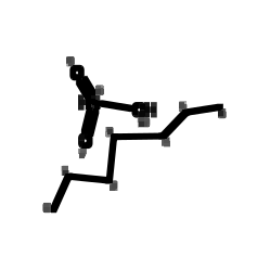 CCCCCCC.O=[SH](=O)O